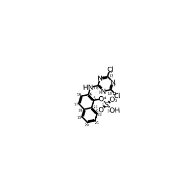 O=S(=O)(O)Oc1c(Nc2nc(Cl)nc(Cl)n2)ccc2ccccc12